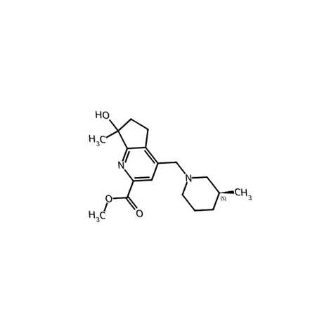 COC(=O)c1cc(CN2CCC[C@H](C)C2)c2c(n1)C(C)(O)CC2